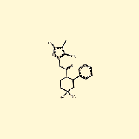 Cc1c(Cl)c(C(F)(F)F)nn1CC(=O)N1CCC(O)(C(F)(F)F)CC1c1ccccc1